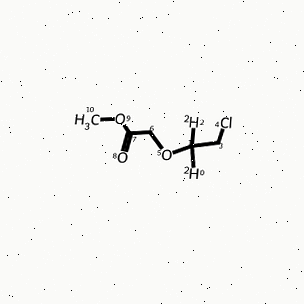 [2H]C([2H])(CCl)OCC(=O)OC